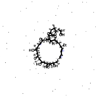 CC[C@@H]1/C=C/C=C/C[C@H](C)[C@@H](O)[C@](C)(O)C(=O)[C@H](C)[C@@H](O)[C@H](C)C(=O)[C@H](C)[C@@H](O)[C@H](C)/C=C/C(=O)O[C@H]2[C@@H](C)[C@@H](CC1)O[C@]1(O[C@H](C[C@H](C)O)[C@H](C)CC1=O)[C@@H]2C